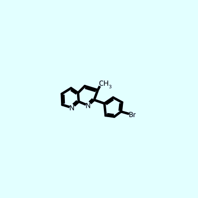 Cc1cc2cccnc2nc1-c1ccc(Br)cc1